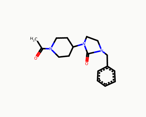 CC(=O)N1CCC(N2CCN(Cc3ccccc3)C2=O)CC1